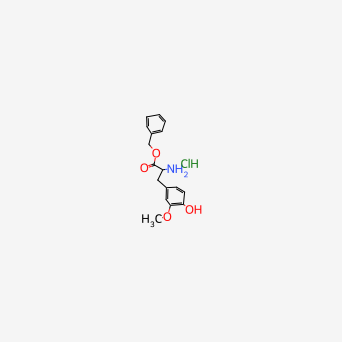 COc1cc(CC(N)C(=O)OCc2ccccc2)ccc1O.Cl